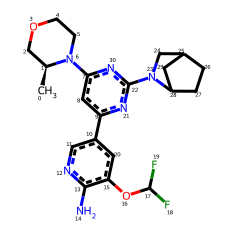 C[C@H]1COCCN1c1cc(-c2cnc(N)c(OC(F)F)c2)nc(N2CC3CCC2C3)n1